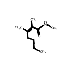 CCCCC(C)=C(C)C(=O)NO